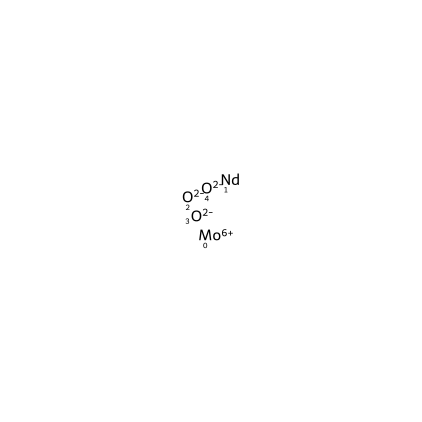 [Mo+6].[Nd].[O-2].[O-2].[O-2]